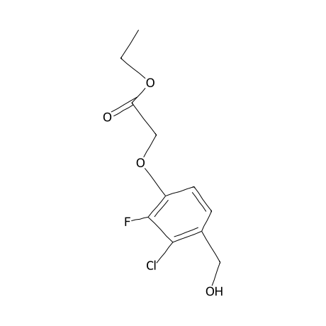 CCOC(=O)COc1ccc(CO)c(Cl)c1F